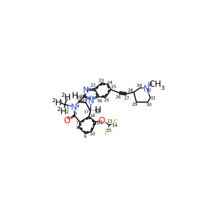 [2H]C([2H])([2H])N1C(=O)c2cccc(OC(F)F)c2[C@H]2C[C@@H]1c1nc3ccc(C#CC4CCCN(C)C4)cc3n12